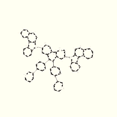 c1cncc(-c2ccc(-c3c(-c4ccc(-c5cccnc5)cc4)c4cc(-n5c6ccccc6c6c7ccccc7ccc65)cnc4c4ccc(-n5c6ccccc6c6c7ccccc7ccc65)cc34)cc2)c1